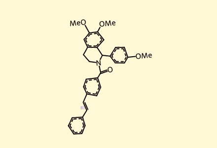 COc1ccc(C2c3cc(OC)c(OC)cc3CCN2C(=O)c2ccc(/C=C/c3ccccc3)cc2)cc1